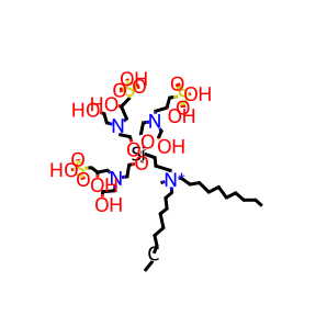 CCCCCCCCCC[N+](C)(CCCCCCCCCC)CCC[Si](OCCN(CCO)CC(O)CS(=O)(=O)O)(OCCN(CCO)CC(O)CS(=O)(=O)O)OCCN(CCO)CC(O)CS(=O)(=O)O